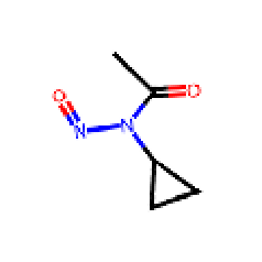 CC(=O)N(N=O)C1CC1